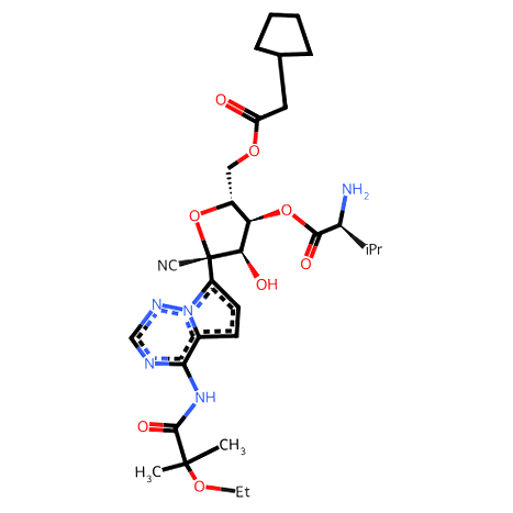 CCOC(C)(C)C(=O)Nc1ncnn2c([C@]3(C#N)O[C@H](COC(=O)CC4CCCC4)[C@@H](OC(=O)[C@@H](N)C(C)C)[C@H]3O)ccc12